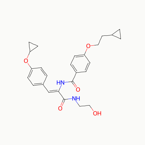 O=C(NCCO)/C(=C/c1ccc(OC2CC2)cc1)NC(=O)c1ccc(OCCC2CC2)cc1